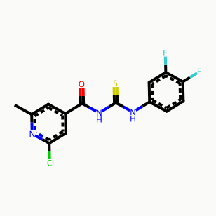 Cc1cc(C(=O)NC(=S)Nc2ccc(F)c(F)c2)cc(Cl)n1